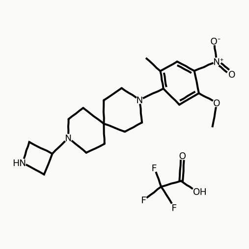 COc1cc(N2CCC3(CC2)CCN(C2CNC2)CC3)c(C)cc1[N+](=O)[O-].O=C(O)C(F)(F)F